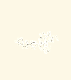 CC(O)C(=O)N1CC[C@@H](CN2C(=O)C3(CCOCC3)N=C2c2ccc(-c3ccc4cccnc4c3)cc2)C1